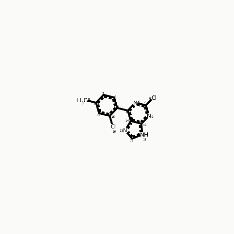 Cc1ccc(-c2nc(Cl)nc3[nH]cnc23)c(Cl)c1